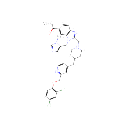 CCn1cncc1Cn1c(CN2CCC(Cc3ccnc(COc4ccc(Cl)cc4Cl)c3)CC2)nc2ccc(C(=O)OC)cc21